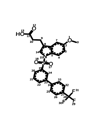 COc1ccc2c(c1)c(CCC(=O)O)cn2S(=O)(=O)c1cccc(-c2ccc(C(F)(F)F)cc2)c1